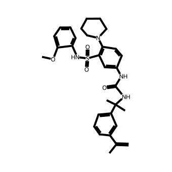 C=C(C)c1cccc(C(C)(C)NC(=O)Nc2ccc(N3CCCCC3)c(S(=O)(=O)Nc3ccccc3OC)c2)c1